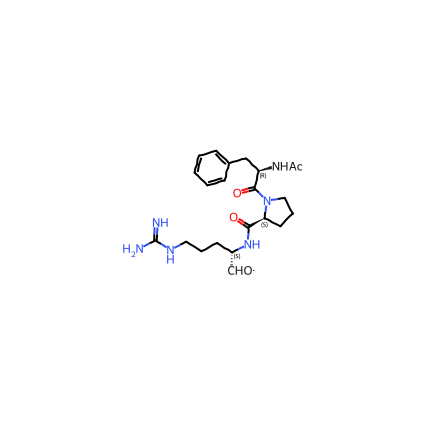 CC(=O)N[C@H](Cc1ccccc1)C(=O)N1CCC[C@H]1C(=O)N[C@H]([C]=O)CCCNC(=N)N